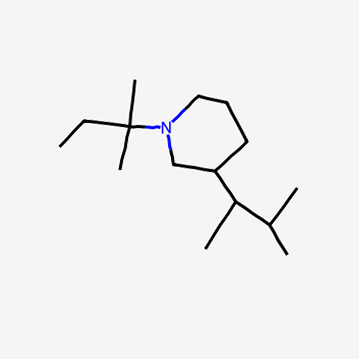 CCC(C)(C)N1CCCC(C(C)C(C)C)C1